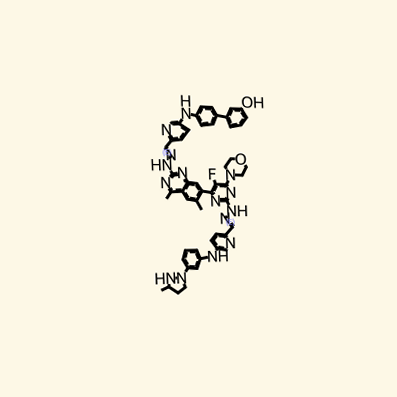 Cc1cc2c(C)nc(N/N=C/c3ccc(Nc4ccc(-c5cccc(O)c5)cc4)cn3)nc2cc1-c1nc(N/N=C/c2ccc(Nc3cccc(N4CCC(C)N4)c3)cn2)nc(N2CCOCC2)c1F